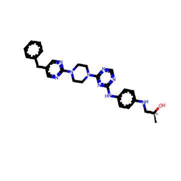 C[C@H](O)CNc1ccc(Nc2ncnc(N3CCN(c4ncc(Cc5ccccc5)cn4)CC3)n2)cc1